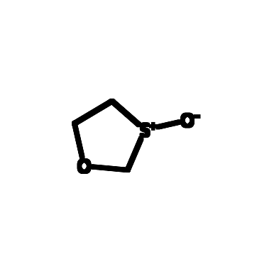 [O-][S+]1CCOC1